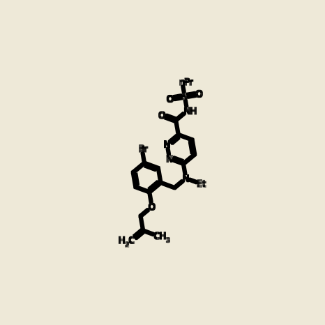 C=C(C)COc1ccc(Br)cc1CN(CC)c1ccc(C(=O)NS(=O)(=O)CCC)nn1